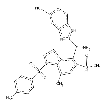 Cc1ccc(S(=O)(=O)n2ccc3c(C(N)c4nc5cc(C#N)ccc5[nH]4)c(S(C)(=O)=O)cc(C)c32)cc1